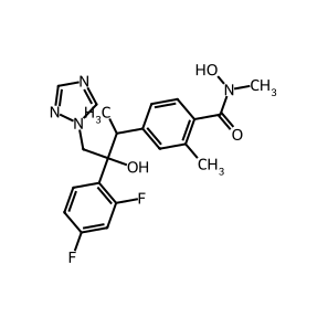 Cc1cc(C(C)C(O)(Cn2cncn2)c2ccc(F)cc2F)ccc1C(=O)N(C)O